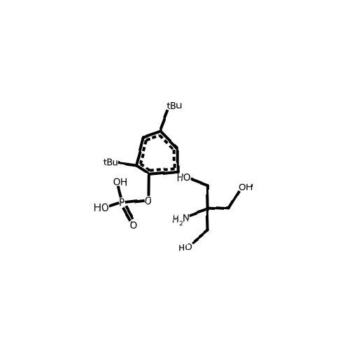 CC(C)(C)c1ccc(OP(=O)(O)O)c(C(C)(C)C)c1.NC(CO)(CO)CO